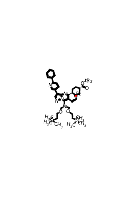 CCO/C=C\c1c(N(COCC[Si](C)(C)C)COCC[Si](C)(C)C)n2ncc(-c3ccc(-c4ccccc4)nc3)c2nc1[C@H]1CC[C@H](C(=O)OC(C)(C)C)CC1